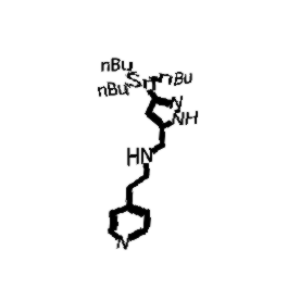 CCC[CH2][Sn]([CH2]CCC)([CH2]CCC)[c]1cc(CNCCc2ccncc2)[nH]n1